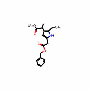 COC(=O)C(C)c1cc(CC(=O)OCc2ccccc2)[nH]c1COC(C)=O